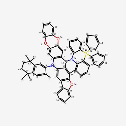 Cc1cc2c(cc1N1c3cc4c(cc3B3c5c1cc1c(oc6ccccc61)c5-c1cccc5c1N3c1ccccc1S5(c1ccccc1)c1ccccc1)Oc1ccccc1O4)C(C)(C)CCC2(C)C